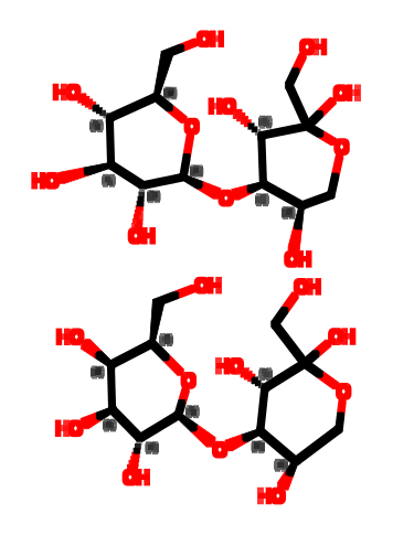 OC[C@H]1O[C@@H](O[C@@H]2[C@H](O)COC(O)(CO)[C@H]2O)[C@H](O)[C@@H](O)[C@@H]1O.OC[C@H]1O[C@@H](O[C@@H]2[C@H](O)COC(O)(CO)[C@H]2O)[C@H](O)[C@@H](O)[C@H]1O